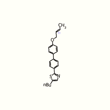 C/C=C/COc1ccc(-c2ccc(-c3ncc(CCCC)s3)cc2)cc1